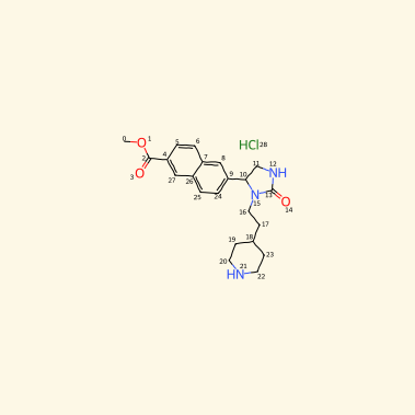 COC(=O)c1ccc2cc(C3CNC(=O)N3CCC3CCNCC3)ccc2c1.Cl